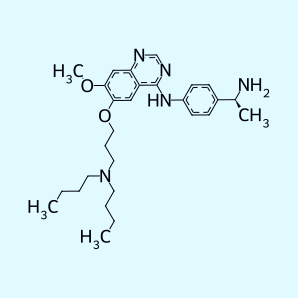 CCCCN(CCCC)CCCOc1cc2c(Nc3ccc([C@H](C)N)cc3)ncnc2cc1OC